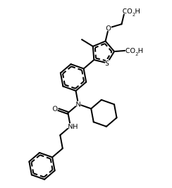 Cc1c(-c2cccc(N(C(=O)NCCc3ccccc3)C3CCCCC3)c2)sc(C(=O)O)c1OCC(=O)O